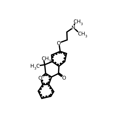 CN(C)CCOc1ccc2c(c1)C(C)(C)c1oc3ccccc3c1C2=O